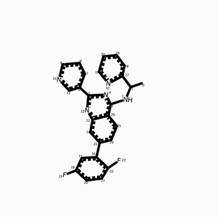 CC(Nc1nc(-c2cccnc2)nc2cc(-c3cc(F)ccc3F)ccc12)c1ccccn1